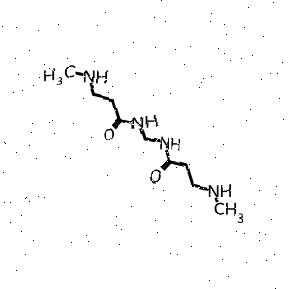 CNCCC(=O)NCNC(=O)CCNC